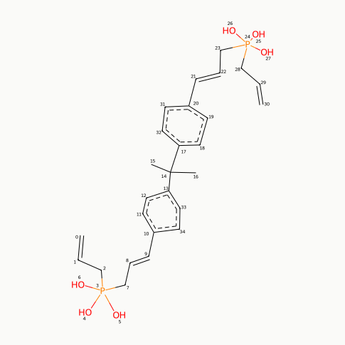 C=CCP(O)(O)(O)CC=Cc1ccc(C(C)(C)c2ccc(C=CCP(O)(O)(O)CC=C)cc2)cc1